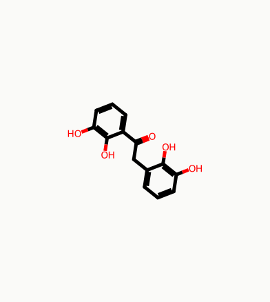 O=C(Cc1cccc(O)c1O)c1cccc(O)c1O